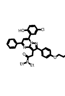 CCN(CC)C(=O)Cc1c(-c2ccc(OCCF)cc2)nn2c(-c3cc(Cl)ccc3O)cc(-c3ccccc3)nc12